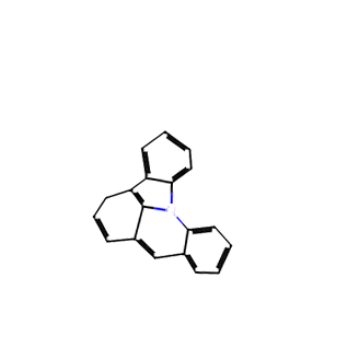 C1=Cc2cc3ccccc3n3c2c(c2ccccc23)C1